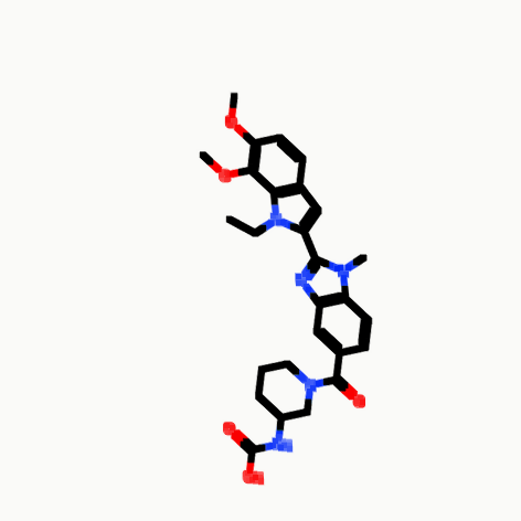 CCn1c(-c2nc3cc(C(=O)N4CCCC(NC(=O)O)C4)ccc3n2C)cc2ccc(OC)c(OC)c21